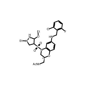 CCOC1NN(CC)CC1S(=O)(=O)N1C[C@H](CNC(C)=O)Oc2ccc(NCc3c(F)cccc3Cl)cc21